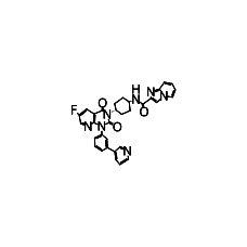 O=C(N[C@H]1CC[C@@H](n2c(=O)c3cc(F)cnc3n(-c3cccc(-c4cccnc4)c3)c2=O)CC1)c1cn2ccccc2n1